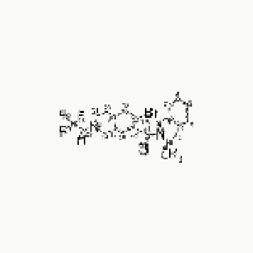 C[C@@H]1Cc2ccccc2CN1C(=O)c1cc2c(cc1Br)CCN(C(=O)C(F)(F)F)C2